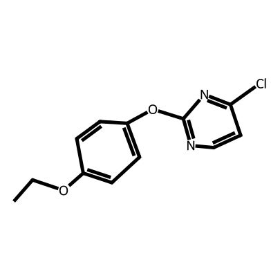 CCOc1ccc(Oc2nccc(Cl)n2)cc1